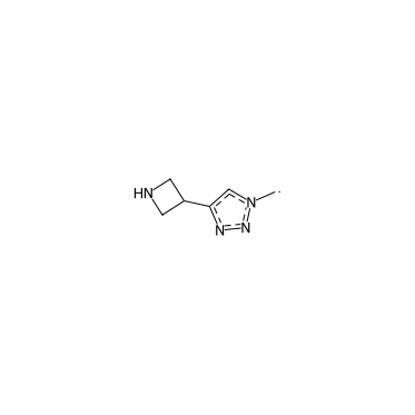 [CH2]n1cc(C2CNC2)nn1